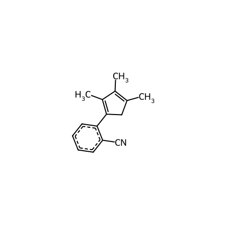 CC1=C(C)C(C)=C(c2ccccc2C#N)C1